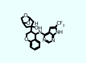 OC1(C2COc3ccccc3C2Nc2ncnc3[nH]c(C(F)(F)F)cc23)CC2COC(C1)O2